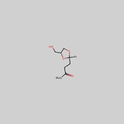 CCC1(CCC(=O)OC)OCC(CO)O1